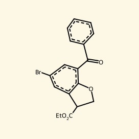 CCOC(=O)C1COc2c(C(=O)c3ccccc3)cc(Br)cc21